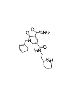 CNC(=O)c1cc(C(=O)NCCC2CCCCN2)cn(Cc2ccccc2)c1=O